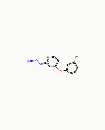 CC(C)c1cccc(Oc2cc[nH]/c(=N\C=N)c2)c1